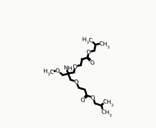 COCC(N)(COCCC(=O)OCC(C)C)COCCC(=O)OCC(C)C